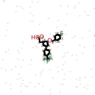 O=C(O)Cc1cc(OCc2ccc(F)cc2)cc(-c2ccc(C(F)(F)F)cc2)c1